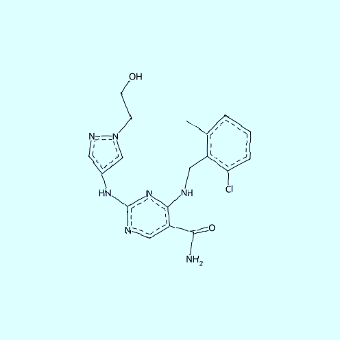 Cc1cccc(Cl)c1CNc1nc(Nc2cnn(CCO)c2)ncc1C(N)=O